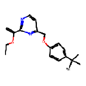 [2H]C(C)(C)c1ccc(OCc2ccnc(C(=C)OCC)n2)cc1